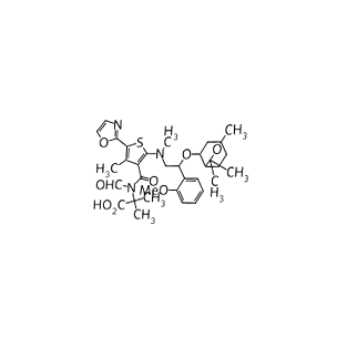 COc1ccccc1C(CN(C)c1sc(-c2ncco2)c(C)c1C(=O)N(C=O)C(C)(C)C(=O)O)OC1CC2(C)CCC1C(C)(C)O2